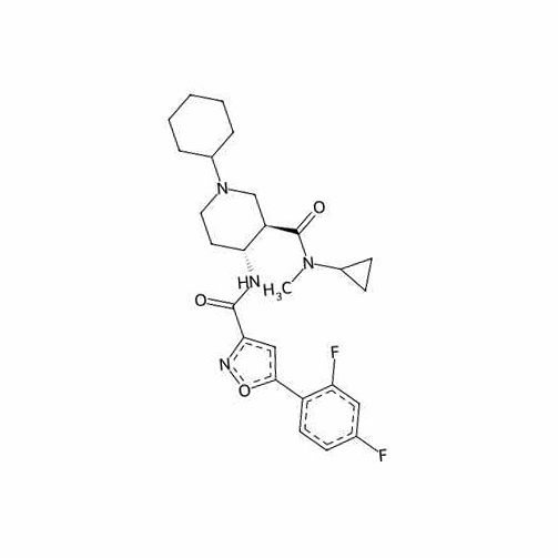 CN(C(=O)[C@@H]1CN(C2CCCCC2)CC[C@H]1NC(=O)c1cc(-c2ccc(F)cc2F)on1)C1CC1